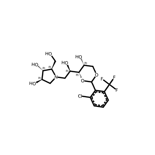 OC[C@@H]1[C@@H](O)[C@H](O)CN1C[C@@H](O)[C@H]1OC(c2c(Cl)cccc2C(F)(F)F)OC[C@H]1O